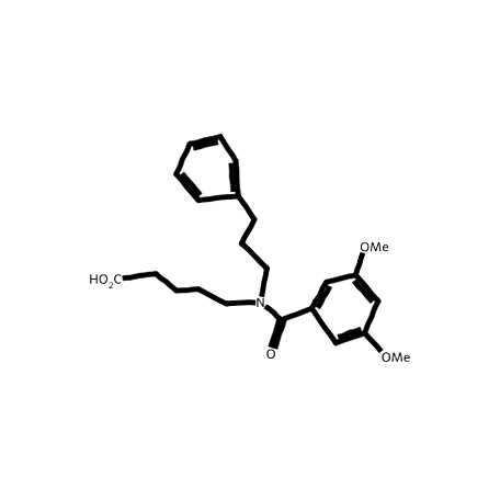 COc1cc(OC)cc(C(=O)N(CCCCC(=O)O)CCCc2ccccc2)c1